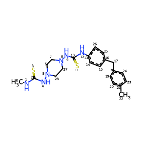 CNC(=S)NN1CCN(NC(=S)Nc2ccc(Cc3ccc(C)cc3)cc2)CC1